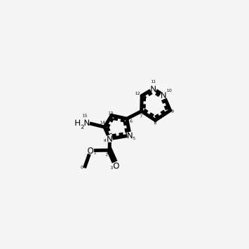 COC(=O)n1nc(-c2ccnnc2)cc1N